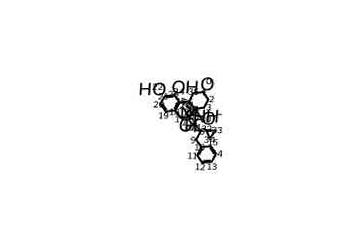 O=C1CC[C@@]2(NC(=O)CCc3ccccc3)[C@H]3Cc4ccc(O)c(O)c4[C@@]2(CC[N+]3([O-])CC2CC2)C1